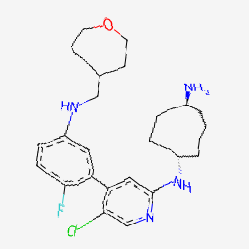 N[C@H]1CC[C@H](Nc2cc(-c3cc(NCC4CCOCC4)ccc3F)c(Cl)cn2)CC1